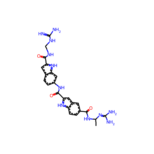 CC(N=C(N)N)NC(=O)c1ccc2[nH]c(C(=O)Nc3ccc4cc(C(=O)NCNC(=N)N)[nH]c4c3)cc2c1